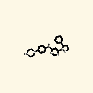 c1ccc(C2CCON2c2cc(Nc3ccc(N4CCNCC4)cc3)ncn2)cc1